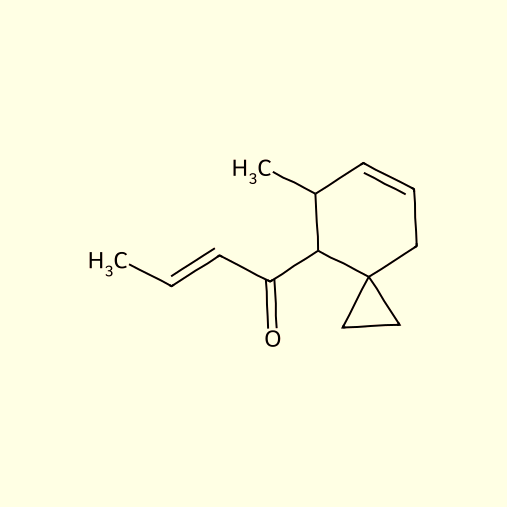 CC=CC(=O)C1C(C)C=CCC12CC2